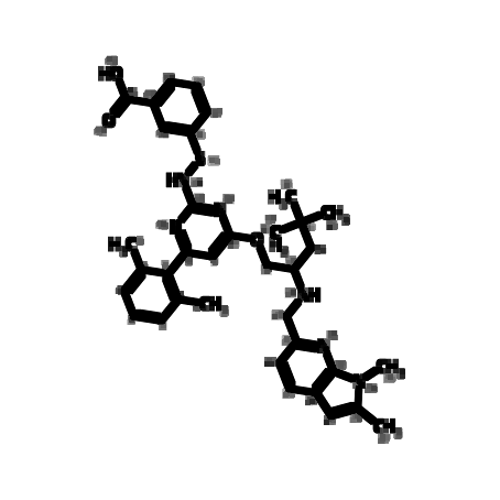 Cc1cccc(C)c1-c1cc(OCC(CC(C)(C)C)NCc2ccc3cc(C)n(C)c3n2)nc(NSc2cccc(C(=O)O)c2)n1